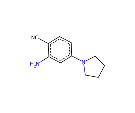 N#Cc1ccc(N2CCCC2)cc1N